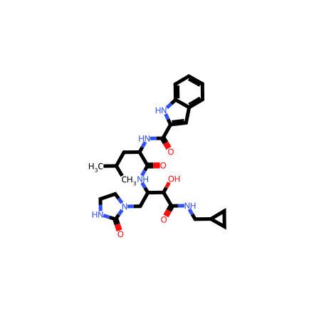 CC(C)CC(NC(=O)c1cc2ccccc2[nH]1)C(=O)NC(CN1CCNC1=O)C(O)C(=O)NCC1CC1